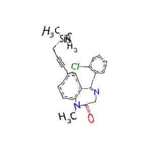 CN1C(=O)CN=C(c2ccccc2Cl)c2cc(C#CC[SiH](C)C)ccc21